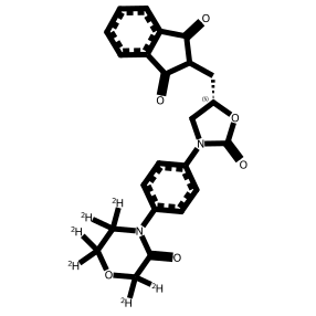 [2H]C1([2H])OC([2H])([2H])C([2H])([2H])N(c2ccc(N3C[C@H](CC4C(=O)c5ccccc5C4=O)OC3=O)cc2)C1=O